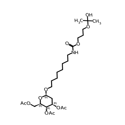 CC(=O)OC[C@H]1O[C@@H](OCCCCCCCCNC(=O)OCCCOC(C)(C)O)C[C@@H](OC(C)=O)[C@H]1OC(C)=O